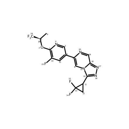 C[C@@H](Oc1ncc(-c2cn3c(C4CC4(F)F)nnc3cn2)cc1F)C(F)(F)F